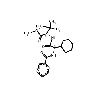 COC(=O)[C@@H](NC(=O)[C@@H](NC(=O)c1cnccn1)C1CCCCC1)C(C)(C)C